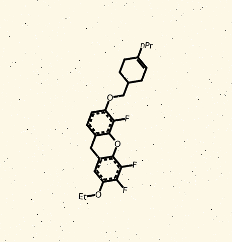 CCCC1=CCC(COc2ccc3c(c2F)Oc2c(cc(OCC)c(F)c2F)C3)CC1